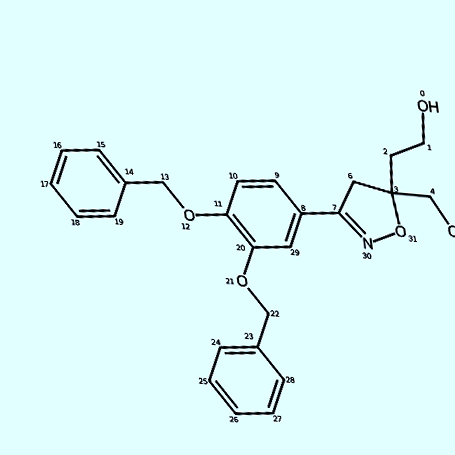 OCCC1(CO)CC(c2ccc(OCc3ccccc3)c(OCc3ccccc3)c2)=NO1